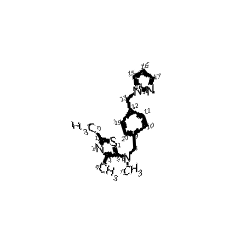 Cc1nc(C)c(N(C)Cc2ccc(Cn3cccn3)cc2)s1